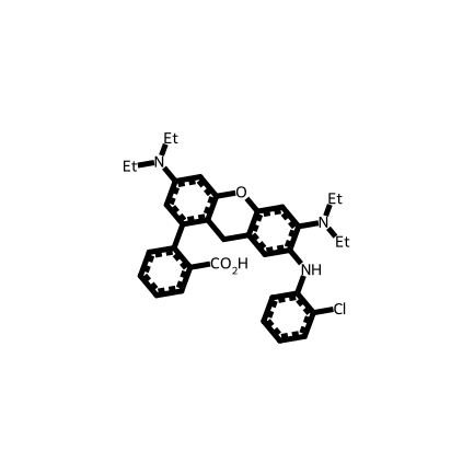 CCN(CC)c1cc2c(c(-c3ccccc3C(=O)O)c1)Cc1cc(Nc3ccccc3Cl)c(N(CC)CC)cc1O2